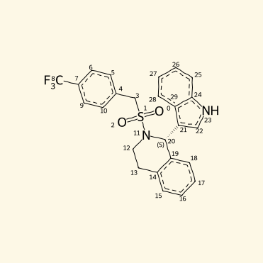 O=S(=O)(Cc1ccc(C(F)(F)F)cc1)N1CCc2ccccc2[C@H]1c1c[nH]c2ccccc12